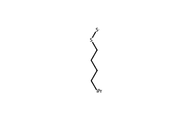 CC(C)CCCCS[S]